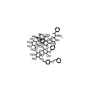 CC(c1ccccc1)C(N)C(=O)NC(Cc1ccc(OC2OC(CO)C(OC3OC(COCc4ccc(OCc5ccccc5)cc4)C(O)C(O)C3O)C(O)C2O)cc1)C(=O)NC(C(=O)NC(C(=O)NC([C]=O)CO)C(O)C1CNC(=N)N1C1OC(CO)C(O)C(O)C1O)C(O)C1CNC(=N)N1